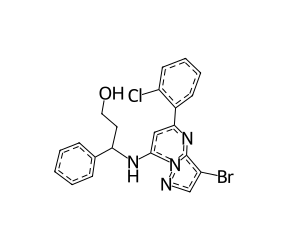 OCCC(Nc1cc(-c2ccccc2Cl)nc2c(Br)cnn12)c1ccccc1